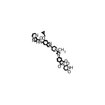 CC1(N2CCC(n3cc4cc(NC(=O)c5cnn6cccnc56)c(OCC5CC5)cc4n3)CC2)CN(c2ccc3c(c2)C(=O)N(C2CCC(=O)NC2=O)C3=O)C1